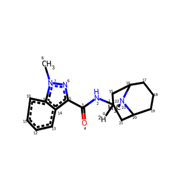 [2H]C1(NC(=O)c2nn(C)c3ccccc23)CC2CCCC(C1)N2C